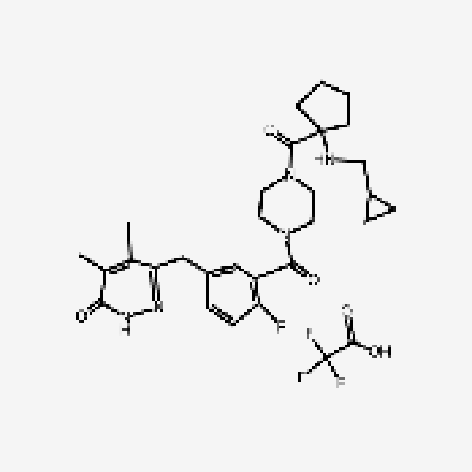 Cc1c(Cc2ccc(F)c(C(=O)N3CCN(C(=O)C4(NCC5CC5)CCCC4)CC3)c2)n[nH]c(=O)c1C.O=C(O)C(F)(F)F